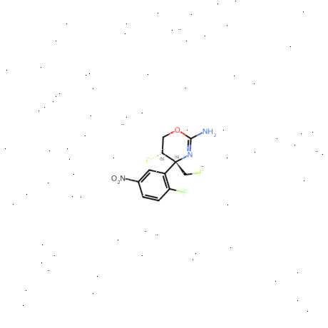 NC1=N[C@](CF)(c2cc([N+](=O)[O-])ccc2F)[C@H](F)CO1